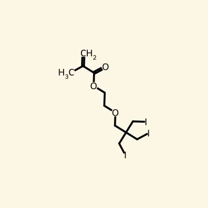 C=C(C)C(=O)OCCOCC(CI)(CI)CI